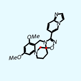 COc1ccc(CN2C(c3ccc4nccn4c3)=NOC23CN2CCC3CC2)c(OC)c1